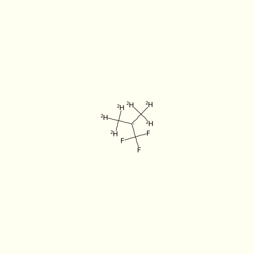 [2H]C([2H])([2H])[C](C([2H])([2H])[2H])C(F)(F)F